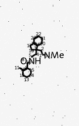 CNCCC1(CCNC(=O)C2=C(C)CCCC2)CCC2=C1CCC=C2